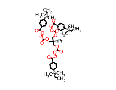 C=C[Si](C)(C)c1ccc(C(=O)OOC(=O)OCC(CCC)(COC(=O)OOC(=O)c2ccc([Si](C)(C)C=C)cc2)COC(=O)OOC(=O)c2ccc([Si](C)(C)C=C)cc2)cc1